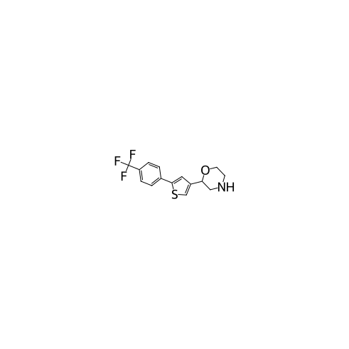 FC(F)(F)c1ccc(-c2cc(C3CNCCO3)cs2)cc1